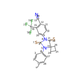 Cc1ccc(N2C(=S)N(c3ccc(C#N)c(C(F)(F)F)c3)C(=S)C23CCC3)cc1